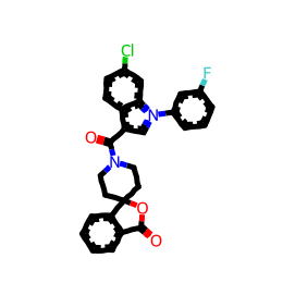 O=C1OC2(CCN(C(=O)c3cn(-c4cccc(F)c4)c4cc(Cl)ccc34)CC2)c2ccccc21